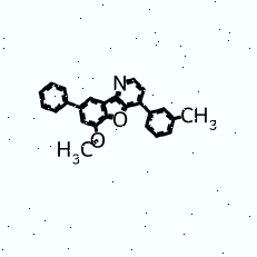 COc1cc(-c2ccccc2)cc2c1oc1c(-c3cccc(C)c3)ccnc12